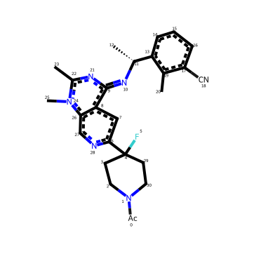 CC(=O)N1CCC(F)(c2cc3/c(=N/[C@H](C)c4cccc(C#N)c4C)nc(C)n(C)c3cn2)CC1